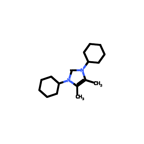 CC1=C(C)N(C2CCCCC2)[C]N1C1CCCCC1